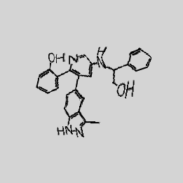 Cc1n[nH]c2ccc(-c3cc(NC(CO)c4ccccc4)cnc3-c3ccccc3O)cc12